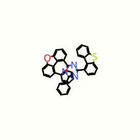 c1ccc(-c2nc(-c3cccc4sc5ccccc5c34)nc(-c3cccc4oc5cccc(-c6ccccc6)c5c34)n2)cc1